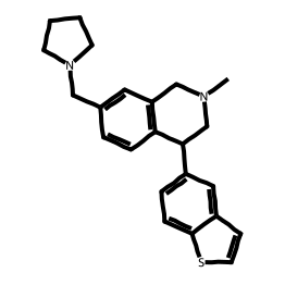 CN1Cc2cc(CN3CCCC3)ccc2C(c2ccc3sccc3c2)C1